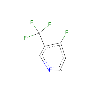 Fc1c[c]ncc1C(F)(F)F